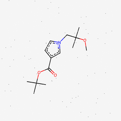 COC(C)(C)Cn1ccc(C(=O)OC(C)(C)C)c1